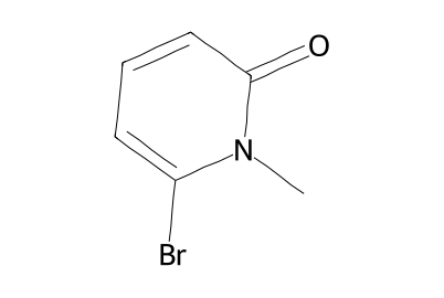 Cn1c(Br)cccc1=O